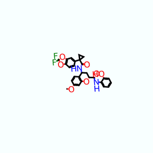 COc1ccc2c(c1)OC(C(=O)Nc1ccccc1O)CC2NC(=O)C1(c2ccc3c(c2)OC(F)(F)O3)CC1